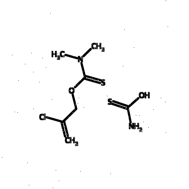 C=C(Cl)COC(=S)N(C)C.NC(O)=S